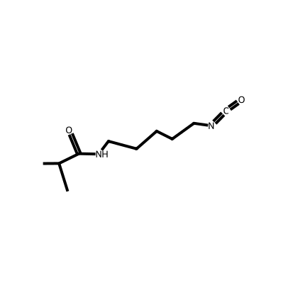 CC(C)C(=O)NCCCCCN=C=O